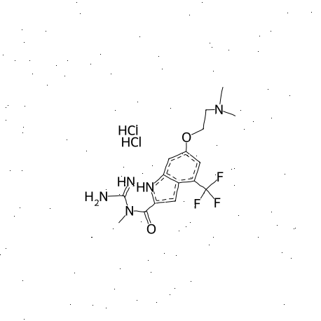 CN(C)CCOc1cc(C(F)(F)F)c2cc(C(=O)N(C)C(=N)N)[nH]c2c1.Cl.Cl